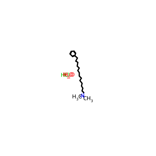 CN(C)CCCCCCCCCCCCCCCc1ccccc1.Cl.O.O